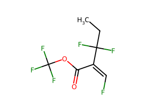 CCC(F)(F)C(=CF)C(=O)OC(F)(F)F